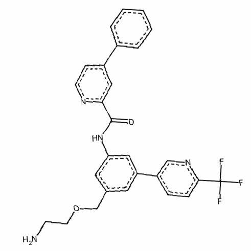 NCCOCc1cc(NC(=O)c2cc(-c3ccccc3)ccn2)cc(-c2ccc(C(F)(F)F)nc2)c1